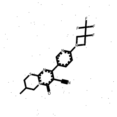 CC1CSc2nc(-c3ccc(N4CC(F)(C(F)(F)F)C4)nc3)c(C#N)c(=O)n2C1